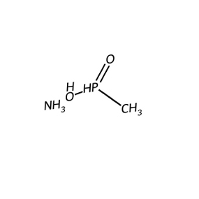 C[PH](=O)O.N